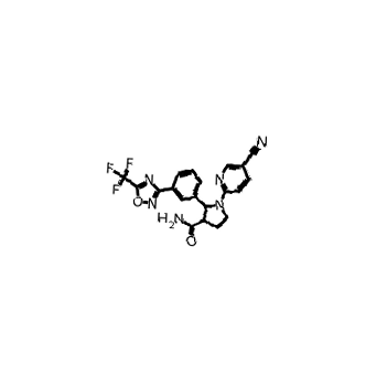 N#Cc1ccc(N2CCC(C(N)=O)C2c2cccc(-c3noc(C(F)(F)F)n3)c2)nc1